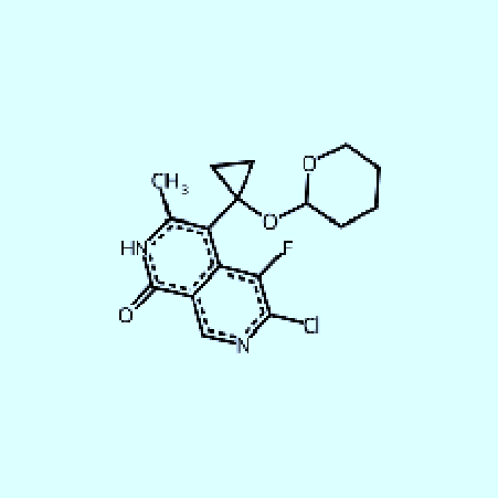 Cc1[nH]c(=O)c2cnc(Cl)c(F)c2c1C1(OC2CCCCO2)CC1